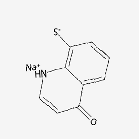 O=c1cc[nH]c2c([S-])cccc12.[Na+]